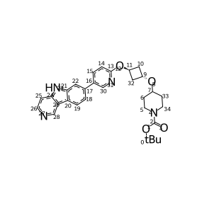 CC(C)(C)OC(=O)N1CCC(O[C@H]2C[C@H](Oc3ccc(-c4ccc5c(c4)[nH]c4ccncc45)cn3)C2)CC1